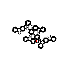 N#Cc1cc(-c2cc(C(F)(F)F)c(-n3c4ccccc4c4cc5c(cc43)oc3ccccc35)cc2-n2c3ccccc3c3ccccc32)c(-n2c3ccccc3c3ccccc32)cc1-n1c2ccccc2c2cc3c(cc21)oc1ccccc13